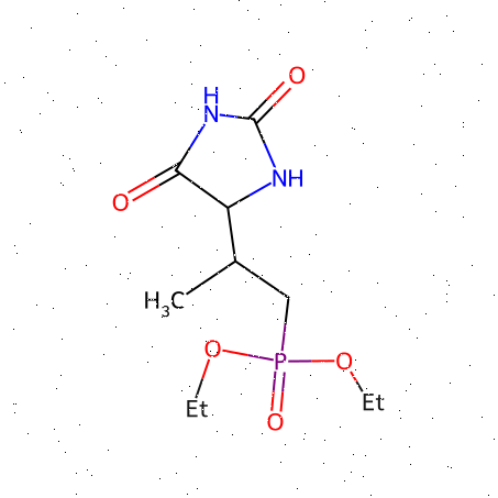 CCOP(=O)(CC(C)C1NC(=O)NC1=O)OCC